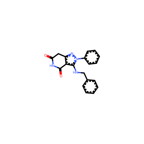 O=C1Cc2nn(-c3ccccc3)c(NCc3ccccc3)c2C(=O)N1